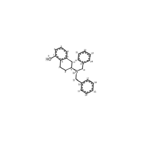 Oc1cccc2c1CC[C@H](N(Cc1ccccc1)Cc1ccccc1)C2